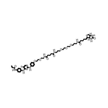 C=CC(=O)Nc1ccc(Nc2nc(Nc3ccc(OCCOCCNC(=O)CCCC(=O)NCCCOCCOCCOCCCNC(=O)CCC/C=C4\SC[C@@H]5NC(=O)N[C@H]45)cc3)ncc2F)cc1